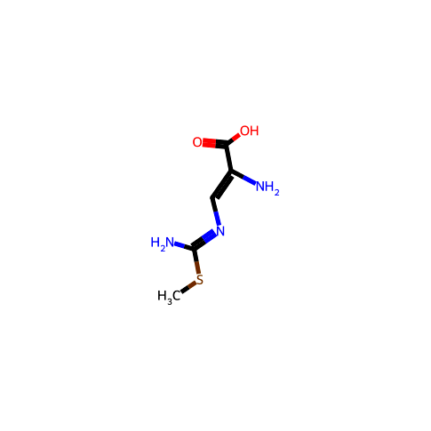 CS/C(N)=N/C=C(\N)C(=O)O